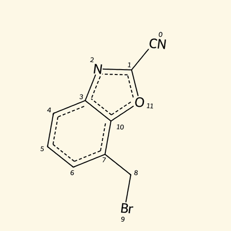 N#Cc1nc2cccc(CBr)c2o1